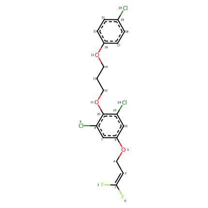 FC(F)=CCOc1cc(Cl)c(OCCCOc2ccc(Cl)cc2)c(Cl)c1